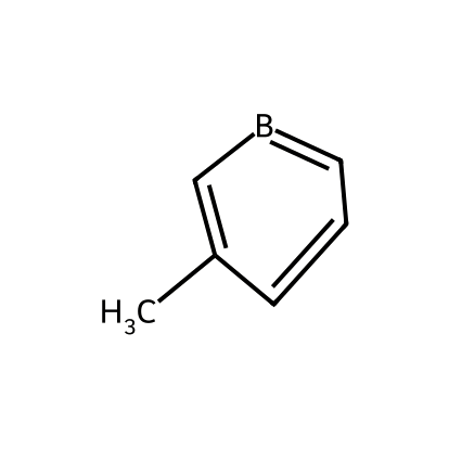 Cc1cbccc1